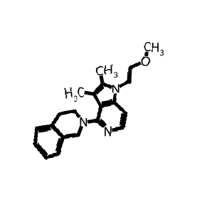 COCCn1c(C)c(C)c2c(N3CCc4ccccc4C3)nccc21